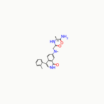 Cc1ccccc1-c1c[nH]c(=O)c2cc(N(C)CC(=O)N[C@@H](C)C(N)=O)ccc12